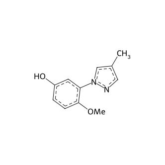 COc1ccc(O)cc1-n1cc(C)cn1